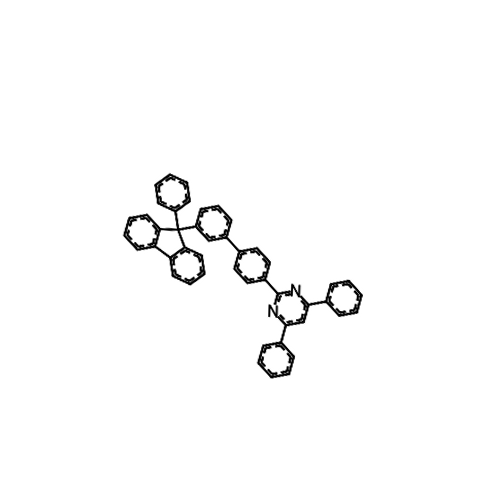 c1ccc(-c2cc(-c3ccccc3)nc(-c3ccc(-c4cccc(C5(c6ccccc6)c6ccccc6-c6ccccc65)c4)cc3)n2)cc1